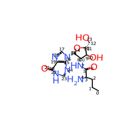 CCCC(N)C(=O)N[C@H]1C(O)[C@@H](CO)O[C@H]1n1cnc2c(=O)[nH]cnc21